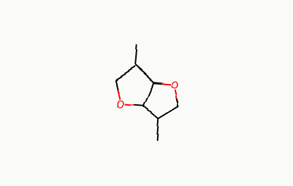 CC1COC2C(C)COC12